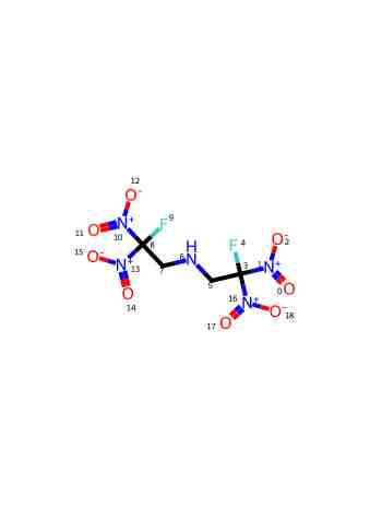 O=[N+]([O-])C(F)(CNCC(F)([N+](=O)[O-])[N+](=O)[O-])[N+](=O)[O-]